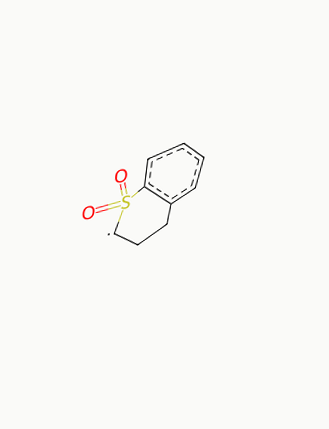 O=S1(=O)[CH]CCc2ccccc21